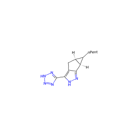 CCCCCC1[C@H]2c3n[nH]c(-c4nn[nH]n4)c3C[C@@H]12